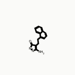 NC1=C(CCc2cccc3ccccc23)C(=O)N=N1